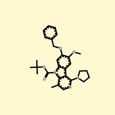 COc1cc2c3c(N4CCCC4)ncc(C)c3n(C(=O)OC(C)(C)C)c2cc1OCc1ccccc1